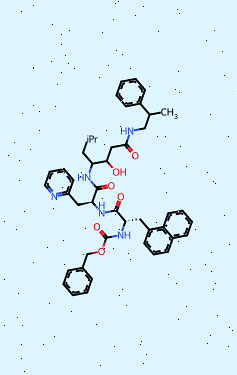 CC(C)CC(NC(=O)[C@H](Cc1ccccn1)NC(=O)[C@H](Cc1cccc2ccccc12)NC(=O)OCc1ccccc1)C(O)CC(=O)NCC(C)c1ccccc1